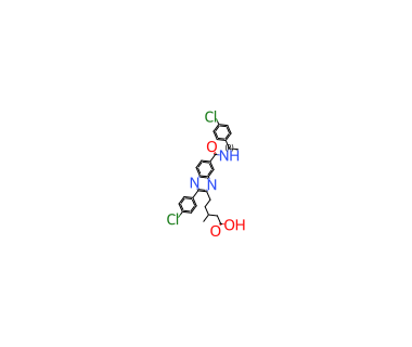 CC(CCc1nc2cc(C(=O)N[C@H](C)c3ccc(Cl)cc3)ccc2nc1-c1ccc(Cl)cc1)CC(=O)O